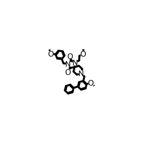 COCCN1C(=O)N(Cc2cccc(OC)c2)C(=O)C12CCN(Cc1cc(-c3ccccc3)ccc1OC)CC2